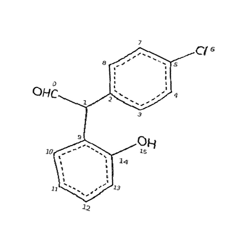 O=CC(c1ccc(Cl)cc1)c1ccccc1O